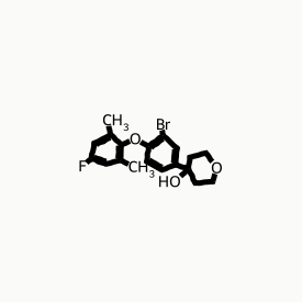 Cc1cc(F)cc(C)c1Oc1ccc(C2(O)CCOCC2)cc1Br